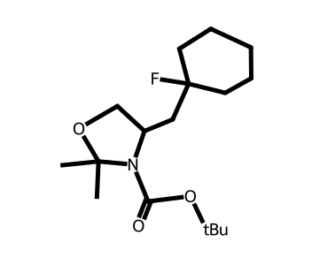 CC(C)(C)OC(=O)N1C(CC2(F)CCCCC2)COC1(C)C